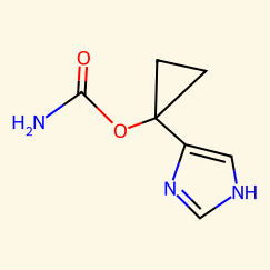 NC(=O)OC1(c2c[nH]cn2)CC1